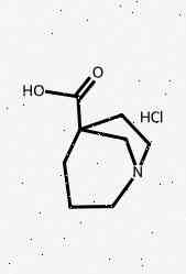 Cl.O=C(O)C12CCCN(CC1)C2